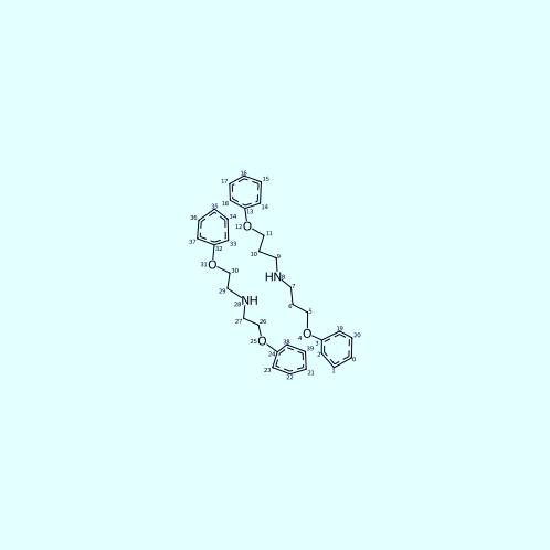 c1ccc(OCCCNCCCOc2ccccc2)cc1.c1ccc(OCCNCCOc2ccccc2)cc1